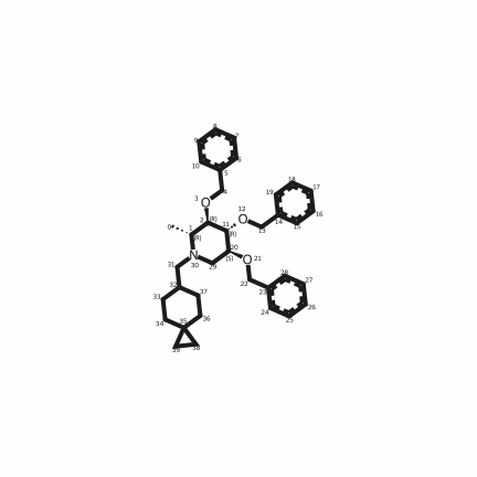 C[C@@H]1[C@@H](OCc2ccccc2)[C@H](OCc2ccccc2)[C@@H](OCc2ccccc2)CN1CC1CCC2(CC1)CC2